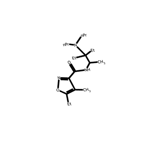 CCCN(CCC)C(CC)(CC)C(C)NC(=O)c1noc(CC)c1C